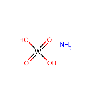 N.[O]=[W](=[O])([OH])[OH]